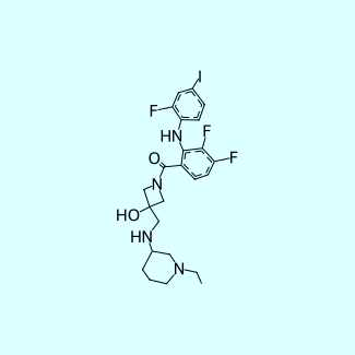 CCN1CCCC(NCC2(O)CN(C(=O)c3ccc(F)c(F)c3Nc3ccc(I)cc3F)C2)C1